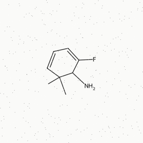 CC1(C)C=CC=C(F)C1N